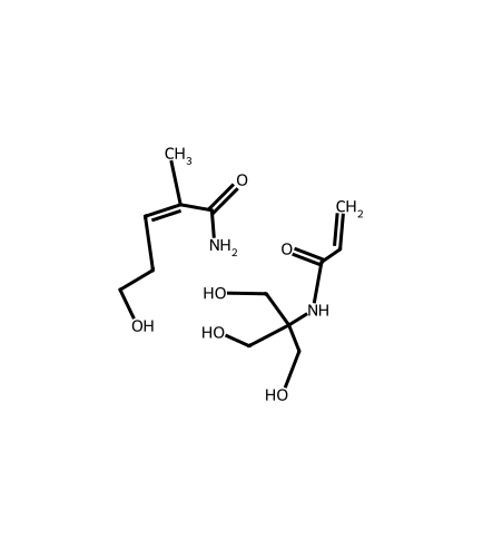 C=CC(=O)NC(CO)(CO)CO.CC(=CCCO)C(N)=O